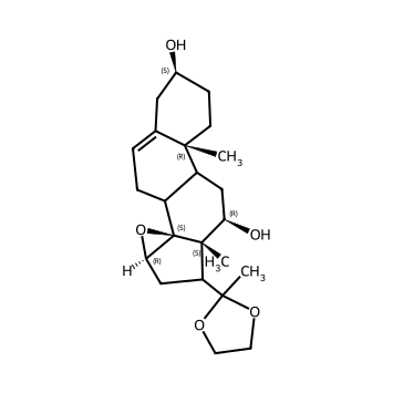 CC1(C2C[C@H]3O[C@]34C3CC=C5C[C@@H](O)CC[C@]5(C)C3C[C@@H](O)[C@]24C)OCCO1